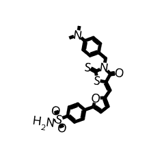 CN(C)c1ccc(CN2C(=O)C(=Cc3ccc(-c4ccc(S(N)(=O)=O)cc4)o3)SC2=S)cc1